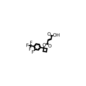 O=C(O)/C=C/C(=O)OC1(c2ccc(C(F)(F)F)c(F)c2)CCC1